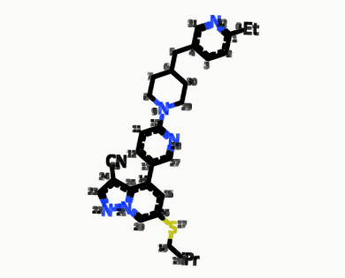 CCc1ccc(CC2CCN(c3ccc(-c4cc(SCC(C)C)cn5ncc(C#N)c45)cn3)CC2)cn1